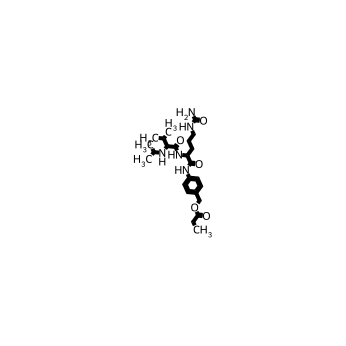 CCC(=O)OCc1ccc(NC(=O)C(CCCNC(N)=O)NC(=O)C(NC(C)C)C(C)C)cc1